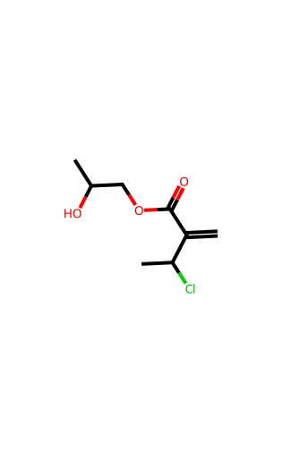 C=C(C(=O)OCC(C)O)C(C)Cl